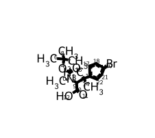 CN(C(=O)OC(C)(C)C)C(C(=O)O)C(C)(C)c1ccc(Br)cc1